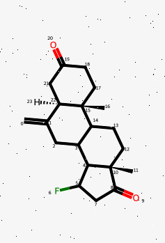 C=C1CC2C3C(F)CC(=O)[C@@]3(C)CCC2[C@@]2(C)CCC(=O)C[C@H]12